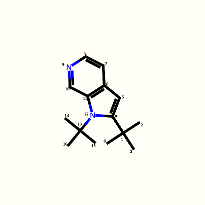 CC(C)(C)c1cc2ccncc2n1C(C)(C)C